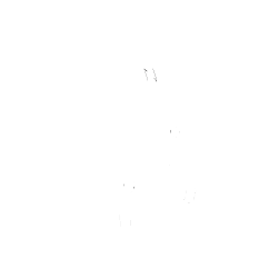 CCOC(=O)Oc1ccccn1